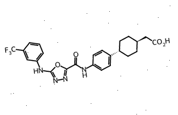 O=C(O)C[C@H]1CC[C@H](c2ccc(NC(=O)c3nnc(Nc4cccc(C(F)(F)F)c4)o3)cc2)CC1